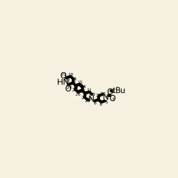 CC(C)(C)OC(=O)N1CCC(CN2CCC(c3ccc(C4CCC(=O)NC4=O)cc3)CC2)CC1